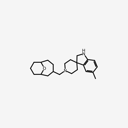 Cc1ccc2c(c1)C1(CCN(CC3CCC4CCCC(C3)O4)CC1)CN2